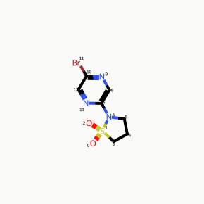 O=S1(=O)CCCN1c1cnc(Br)cn1